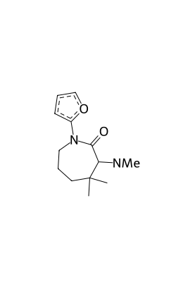 CNC1C(=O)N(c2ccco2)CCCC1(C)C